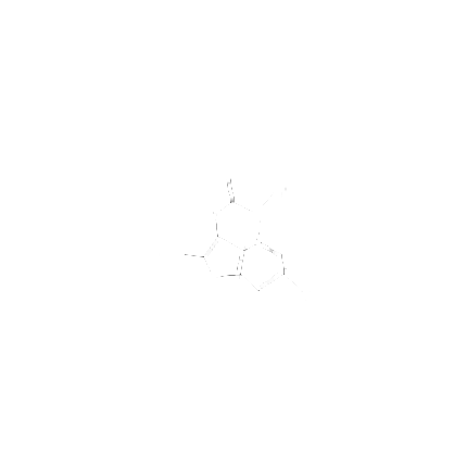 CCOC(=O)c1oc2cc(C(C)C)cnc2c1NC(=O)OC(C)(C)C